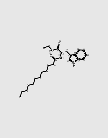 CCCCCCCCCCCC(=O)N[C@@H](Cc1c[nH]c2ccccc12)C(=O)OCC